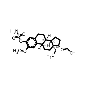 CCO[C@H]1CC[C@H]2[C@@H]3CCc4cc(OS(N)(=O)=O)c(OC)cc4[C@H]3CC[C@]12CC